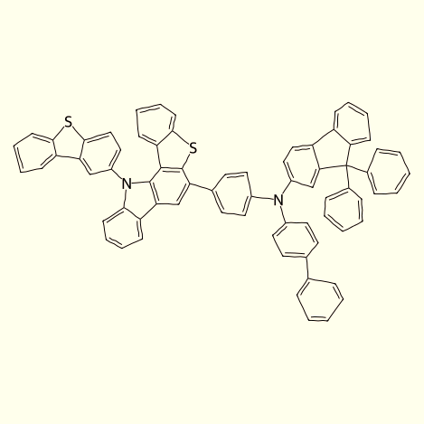 c1ccc(-c2ccc(N(c3ccc(-c4cc5c6ccccc6n(-c6ccc7sc8ccccc8c7c6)c5c5c4sc4ccccc45)cc3)c3ccc4c(c3)C(c3ccccc3)(c3ccccc3)c3ccccc3-4)cc2)cc1